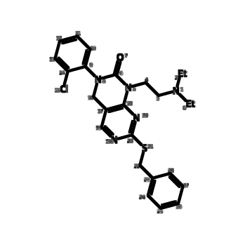 CCN(CC)CCN1C(=O)N(c2ccccc2Cl)Cc2cnc(SCc3ccccc3)nc21